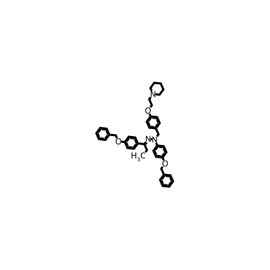 CC/C(=N\N(Cc1ccc(OCCN2CCCCC2)cc1)c1ccc(OCc2ccccc2)cc1)c1ccc(OCc2ccccc2)cc1